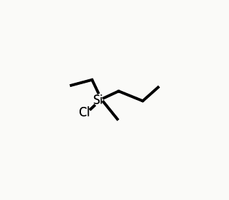 CCC[Si](C)(Cl)CC